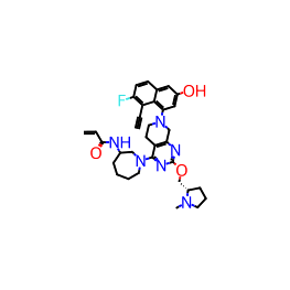 C#Cc1c(F)ccc2cc(O)cc(N3CCc4c(nc(OC[C@@H]5CCCN5C)nc4N4CCCCC(NC(=O)C=C)C4)C3)c12